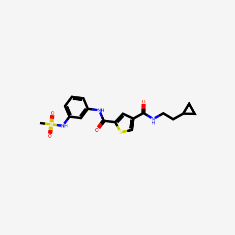 CS(=O)(=O)Nc1cccc(NC(=O)c2cc(C(=O)NCCC3CC3)cs2)c1